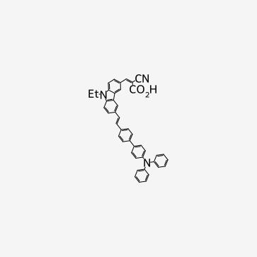 CCn1c2ccc(C=Cc3ccc(-c4ccc(N(c5ccccc5)c5ccccc5)cc4)cc3)cc2c2cc(C=C(C#N)C(=O)O)ccc21